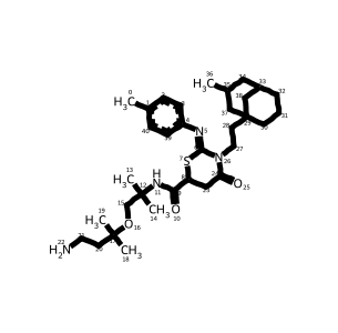 Cc1ccc(/N=C2\SC(C(=O)NC(C)(C)COC(C)(C)CCN)CC(=O)N2CCC23CCCC(CC(C)C2)C3)cc1